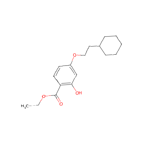 CCOC(=O)c1ccc(OCCC2CCCCC2)cc1O